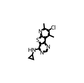 Cc1nc2sc3c(NC4CC4)ncnc3c2c(C)c1Cl